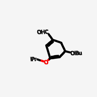 CC(C)COC1C=C(OC(C)C)C=C(C=O)C1